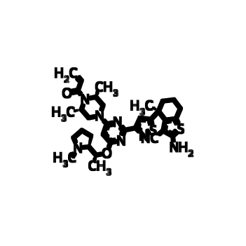 C=CC(=O)N1[C@@H](C)CN(c2cc(O[C@@H](C)[C@@H]3CCCN3C)nc(-c3cc([C@@]4(C)CCCc5sc(N)c(C#N)c54)sn3)n2)C[C@@H]1C